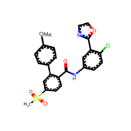 COc1ccc(-c2cc(S(C)(=O)=O)ccc2C(=O)Nc2ccc(Cl)c(-c3ncco3)c2)cc1